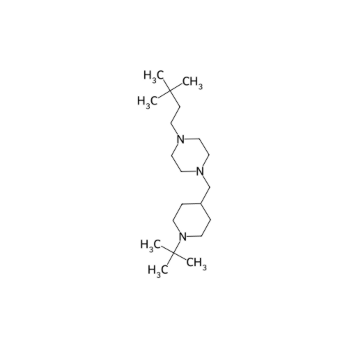 CC(C)(C)CCN1CCN(CC2CCN(C(C)(C)C)CC2)CC1